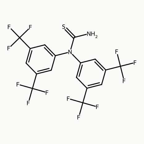 NC(=S)N(c1cc(C(F)(F)F)cc(C(F)(F)F)c1)c1cc(C(F)(F)F)cc(C(F)(F)F)c1